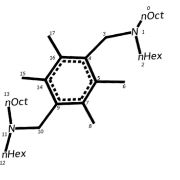 CCCCCCCCN(CCCCCC)Cc1c(C)c(C)c(CN(CCCCCC)CCCCCCCC)c(C)c1C